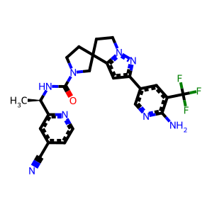 C[C@@H](NC(=O)N1CCC2(CCn3nc(-c4cnc(N)c(C(F)(F)F)c4)cc32)C1)c1cc(C#N)ccn1